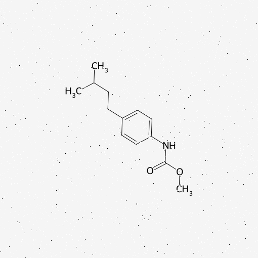 COC(=O)Nc1ccc(CCC(C)C)cc1